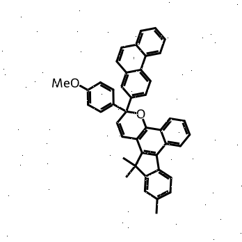 COc1ccc(C2(c3ccc4c(ccc5ccccc54)c3)C=Cc3c4c(c5ccccc5c3O2)-c2ccc(C)cc2C4(C)C)cc1